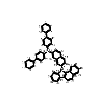 c1ccc(-c2ccc(N(c3ccc(-c4ccccc4)cc3)c3ccc4ccc(-n5c6ccccc6c6ccc7ccccc7c65)cc4c3)cc2)cc1